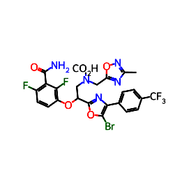 Cc1noc(CN(CC(Oc2ccc(F)c(C(N)=O)c2F)c2nc(-c3ccc(C(F)(F)F)cc3)c(Br)o2)C(=O)O)n1